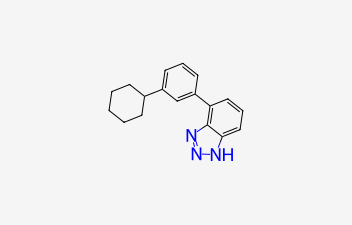 c1cc(-c2cccc3[nH]nnc23)cc(C2CCCCC2)c1